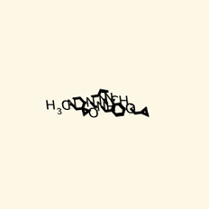 CN1CCC(N(Cc2ccn(C)n2)C(=O)NCc2ccc(OCC3CC3)cc2)C2(CC2)C1